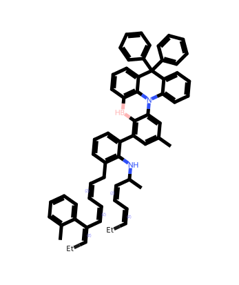 CC/C=C\C=C/C(C)Nc1c(C\C=C/C=C\C(=C\CC)c2ccccc2C)cccc1-c1cc(C)cc2c1Bc1cccc3c1N2c1ccccc1C3(c1ccccc1)c1ccccc1